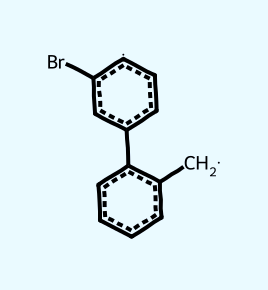 [CH2]c1ccccc1-c1cc[c]c(Br)c1